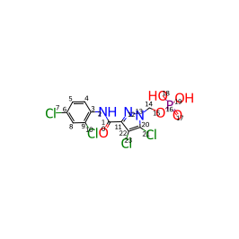 O=C(Nc1ccc(Cl)cc1Cl)c1nn(COP(=O)(O)O)c(Cl)c1Cl